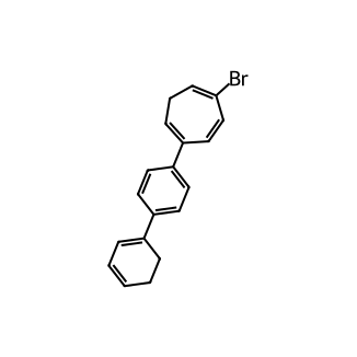 BrC1=CCC=C(c2ccc(C3=CC=CCC3)cc2)C=C1